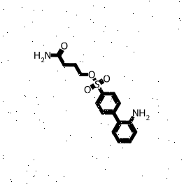 NC(=O)CCCOS(=O)(=O)c1ccc(-c2ccccc2N)cc1